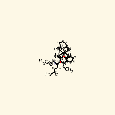 CC[C@@H]1C[C@H]2CC(N3[C@@H]4CCC[C@H]3CC(n3c(=O)c(/C(CCC(=O)O)=N/OC)nc5ccccc53)C4)C[C@@H](C1)C2